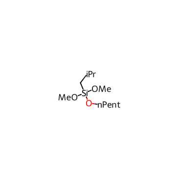 CCCCCO[Si](CC(C)C)(OC)OC